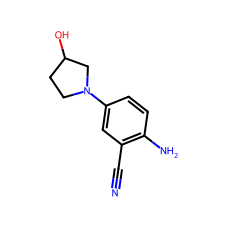 N#Cc1cc(N2CCC(O)C2)ccc1N